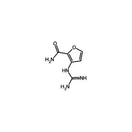 N=C(N)Nc1ccoc1C(N)=O